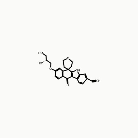 C#Cc1ccc2c3c([nH]c2c1)C1(CCOCC1)c1cc(OC[C@H](O)CO)ccc1C3=O